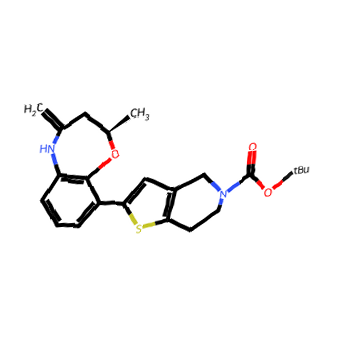 C=C1C[C@@H](C)Oc2c(cccc2-c2cc3c(s2)CCN(C(=O)OC(C)(C)C)C3)N1